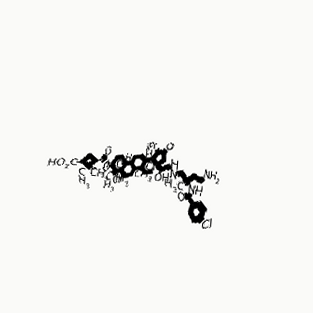 CC(C)C1=C2[C@H]3CC[C@@H]4[C@@]5(C)CC[C@H](OC(=O)[C@H]6C[C@@H](C(=O)O)C6(C)C)C(C)(C)[C@@H]5CC[C@@]4(C)[C@]3(C)CC[C@@]2([C@@H](O)CNCC(C)(CCN)NC(=O)c2ccc(Cl)cc2)CC1=O